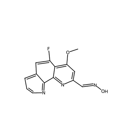 COc1cc(/C=N/O)nc2c1c(F)cc1cccnc12